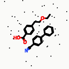 CCOCCc1ccc(C(=O)O)cc1.N#Cc1ccc(-c2ccccc2)cc1